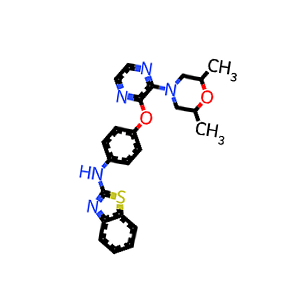 CC1CN(c2nccnc2Oc2ccc(Nc3nc4ccccc4s3)cc2)CC(C)O1